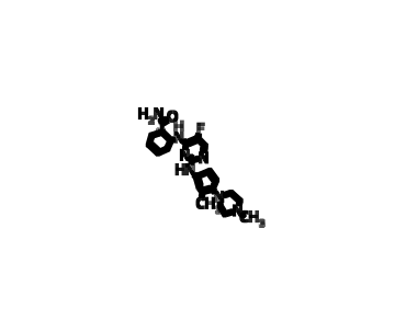 Cc1cc(Nc2ncc(F)c(NC3CC=CC[C@H]3C(N)=O)n2)ccc1N1CCN(C)CC1